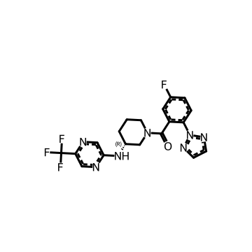 O=C(c1cc(F)ccc1-n1nccn1)N1CCC[C@@H](Nc2cnc(C(F)(F)F)cn2)C1